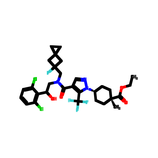 CCOC(=O)[C@]1(C)CC[C@@H](n2ncc(C(=O)N(CC(O)c3c(Cl)cccc3Cl)CC3(F)CC4(CC4)C3)c2C(F)(F)F)CC1